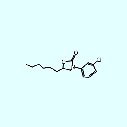 CCCCCCC1CN(c2cccc(Cl)c2)C(=O)O1